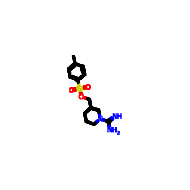 Cc1ccc(S(=O)(=O)OCC2CCCN(C(=N)N)C2)cc1